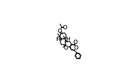 CC(=O)O[C@H]1CC[C@]2(C)[C@H]3Cc4c(cc(-c5ccccc5)oc4=O)O[C@]3(C)CC[C@H]2C1(C)C